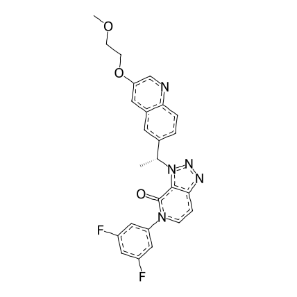 COCCOc1cnc2ccc([C@@H](C)n3nnc4ccn(-c5cc(F)cc(F)c5)c(=O)c43)cc2c1